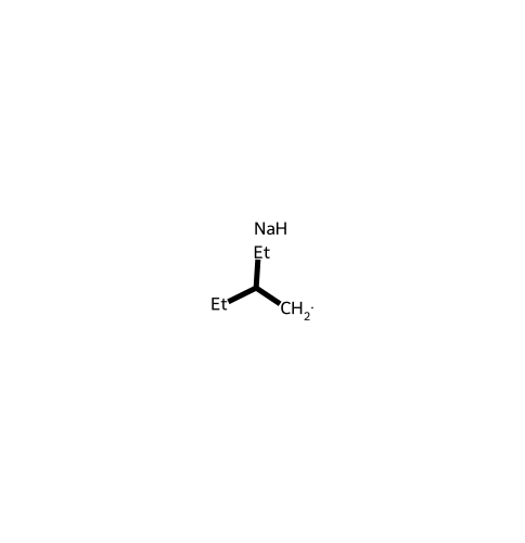 [CH2]C(CC)CC.[NaH]